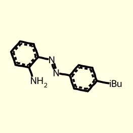 CCC(C)c1ccc(N=Nc2ccccc2N)cc1